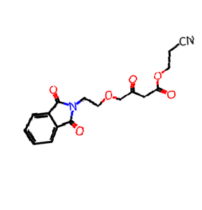 N#CCCOC(=O)CC(=O)COCCN1C(=O)c2ccccc2C1=O